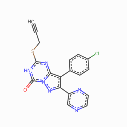 C#CCSc1nc2c(-c3ccc(Cl)cc3)c(-c3cnccn3)nn2c(=O)[nH]1